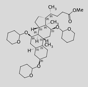 COC(=O)CC[C@@H](C)[C@H]1CC[C@H]2[C@@H]3[C@H](OC4CCCCO4)C[C@@H]4C[C@H](OC5CCCCO5)CC[C@]4(C)[C@H]3C[C@H](OC3CCCCO3)[C@]12C